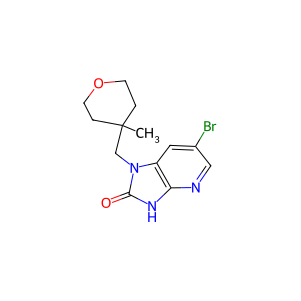 CC1(Cn2c(=O)[nH]c3ncc(Br)cc32)CCOCC1